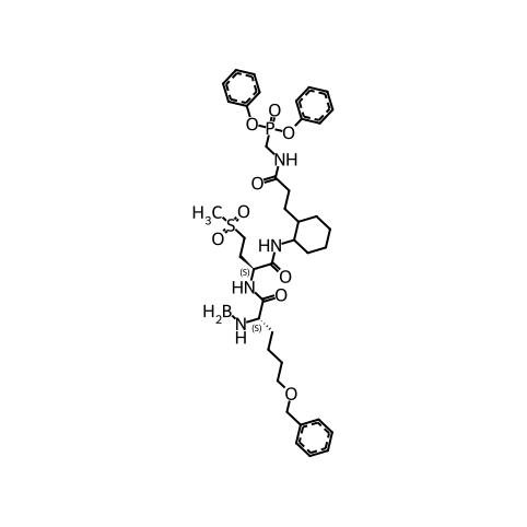 BN[C@@H](CCCCOCc1ccccc1)C(=O)N[C@@H](CCS(C)(=O)=O)C(=O)NC1CCCCC1CCC(=O)NCP(=O)(Oc1ccccc1)Oc1ccccc1